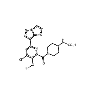 CCOc1c(Cl)nc(-c2cnn3ccsc23)nc1C(=O)N1CCC(NC(=O)O)CC1